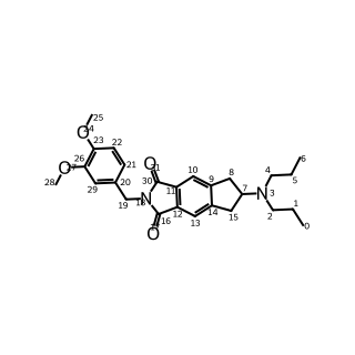 CCCN(CCC)C1Cc2cc3c(cc2C1)C(=O)N(Cc1ccc(OC)c(OC)c1)C3=O